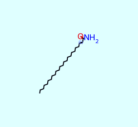 CCCCCCCCCCCCCCCCCCCCC/C=C/C(N)=O